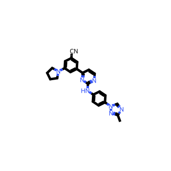 Cc1ncn(-c2ccc(Nc3nccc(-c4cc(C#N)cc(N5CCCC5)c4)n3)cc2)n1